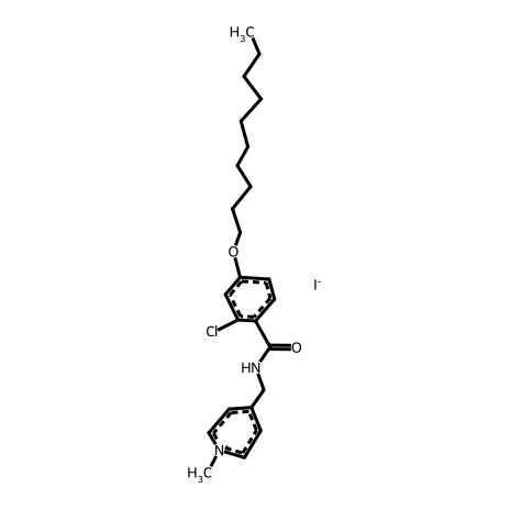 CCCCCCCCCCOc1ccc(C(=O)NCc2cc[n+](C)cc2)c(Cl)c1.[I-]